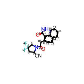 N#CC1CC(F)(F)CN1C(=O)Cc1ccc2ccccc2c1C(N)=O